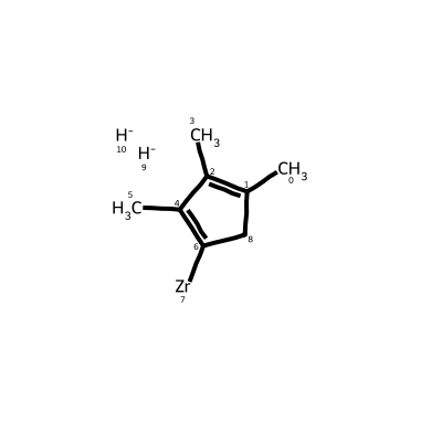 CC1=C(C)C(C)=[C]([Zr])C1.[H-].[H-]